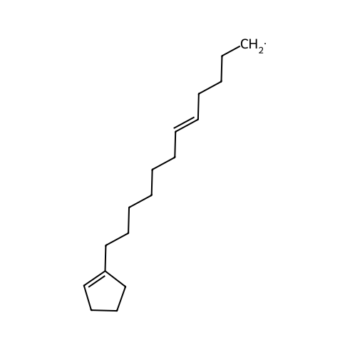 [CH2]CCCC=CCCCCCCC1=CCCC1